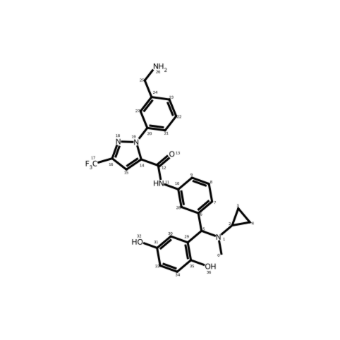 CN(C1CC1)C(c1cccc(NC(=O)c2cc(C(F)(F)F)nn2-c2cccc(CN)c2)c1)c1cc(O)ccc1O